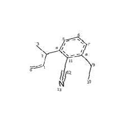 C=C[C](C)c1cccc(CC)c1C#N